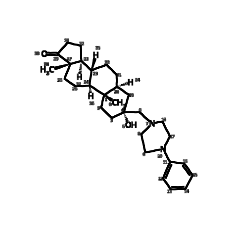 C[C@]12CC[C@](O)(CN3CCN(c4ccccc4)CC3)C[C@@H]1CC[C@@H]1[C@@H]2CC[C@]2(C)C(=O)CC[C@@H]12